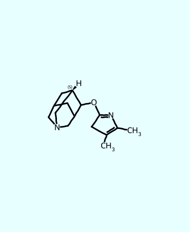 CC1=C(C)N=C(OC2C3CC4C[C@H]2CN(C4)C3)C1